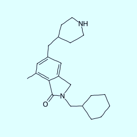 Cc1cc(CC2CCNCC2)cc2c1C(=O)N(CC1CCCCC1)C2